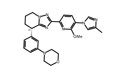 COc1nc(-c2nc3n(n2)CCC[C@H]3c2cccc(N3CCOCC3)c2)ccc1-n1cnc(C)c1